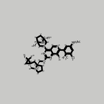 CC(=O)Nc1cc(Cl)c(C(F)(F)F)c(-c2ncc3c(N4C[C@H]5CC[C@@H](C4)N5)nc(OC[C@@]45CCCN4C[C@@]4(CC4(F)F)C5)nc3c2F)c1